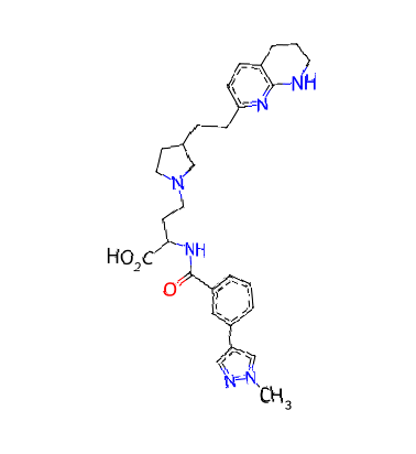 Cn1cc(-c2cccc(C(=O)NC(CCN3CCC(CCc4ccc5c(n4)NCCC5)C3)C(=O)O)c2)cn1